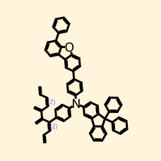 C=C/C=C\C(=C)C(=C)/C(=C\C=C)c1ccc(N(c2ccc(-c3ccc4oc5c(-c6ccccc6)cccc5c4c3)cc2)c2ccc3c(c2)-c2ccccc2C3(c2ccccc2)c2ccccc2)cc1